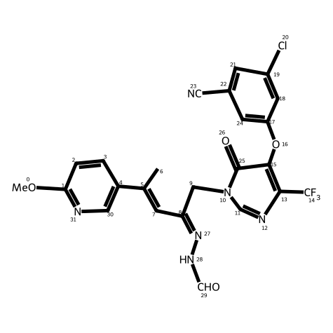 COc1ccc(/C(C)=C/C(Cn2cnc(C(F)(F)F)c(Oc3cc(Cl)cc(C#N)c3)c2=O)=N\NC=O)cn1